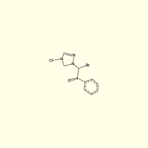 O=C(c1ccccc1)C(Br)N1CN(Cl)C=N1